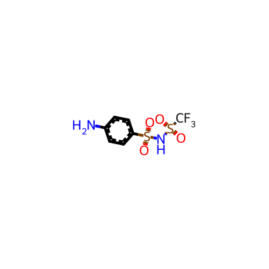 Nc1ccc(S(=O)(=O)NS(=O)(=O)C(F)(F)F)cc1